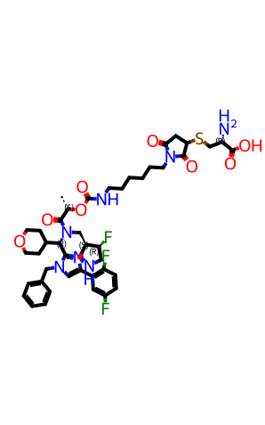 C[C@H](OC(=O)NCCCCCCN1C(=O)CC(SC[C@H](N)C(=O)O)C1=O)C(=O)N(C[C@@H]1CNC[C@@H]1F)[C@@H](c1nc(-c2cc(F)ccc2F)cn1Cc1ccccc1)C1CCOCC1